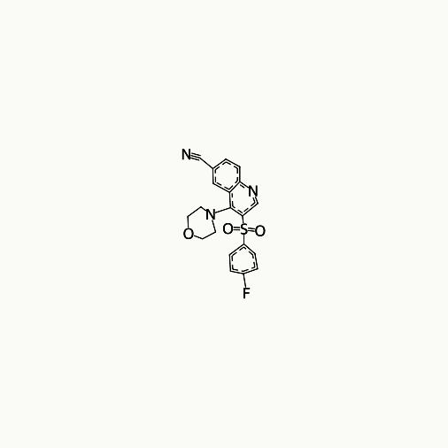 N#Cc1ccc2ncc(S(=O)(=O)c3ccc(F)cc3)c(N3CCOCC3)c2c1